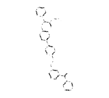 COC(=O)C(Oc1ccc(-c2ccc(COc3cccc(C(=O)c4ccccc4)c3)cc2)cc1)c1ccccc1